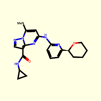 CNc1cc(Nc2cccc([C@@H]3CCCCO3)n2)nc2c(C(=O)NC3CC3)cnn12